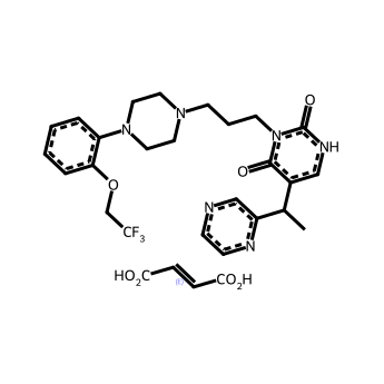 CC(c1cnccn1)c1c[nH]c(=O)n(CCCN2CCN(c3ccccc3OCC(F)(F)F)CC2)c1=O.O=C(O)/C=C/C(=O)O